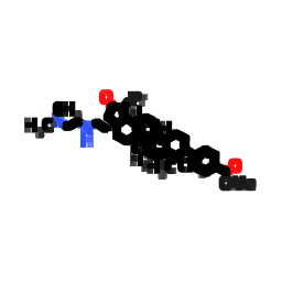 COC(=O)c1ccc(C2=CC[C@]3(C)[C@H]4CC[C@@H]5C6=C(C(C)C)C(=O)C[C@]6(CCNCCN(C)C)CC[C@@]5(C)[C@]4(C)CC[C@H]3C2(C)C)cc1